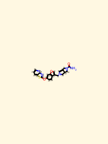 NC(=O)N1CC2=CN(Cc3coc4cc(Oc5nc6ncccc6s5)ccc34)CC2C1